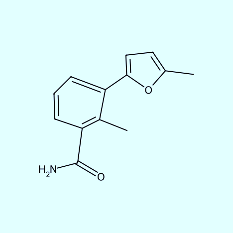 Cc1ccc(-c2cccc(C(N)=O)c2C)o1